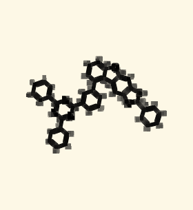 c1ccc(-c2nc(-c3ccccc3)nc(-c3cccc(-c4cccc5oc6cc7sc(-c8ccccc8)nc7cc6c45)c3)n2)cc1